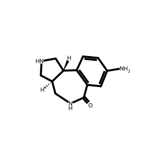 Nc1ccc2c(c1)C(=O)NC[C@H]1CNC[C@H]21